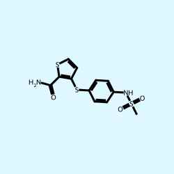 CS(=O)(=O)Nc1ccc(Sc2ccsc2C(N)=O)cc1